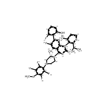 CSc1c(F)c(F)c(N2CCN(c3nc(=O)n(-c4c(C)ccnc4C(C)C)c4nc(-c5c(O)cccc5F)c(F)cc34)[C@@H](C)C2)c(F)c1F